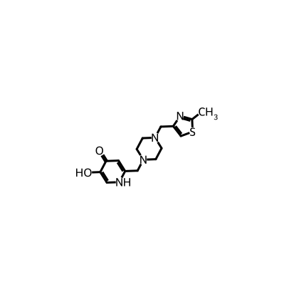 Cc1nc(CN2CCN(Cc3cc(=O)c(O)c[nH]3)CC2)cs1